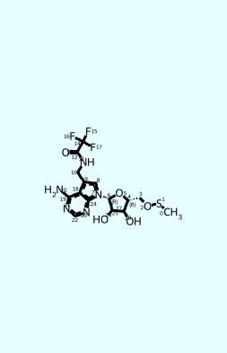 CSOC[C@H]1O[C@@H](n2cc(CNC(=O)C(F)(F)F)c3c(N)ncnc32)C(O)C1O